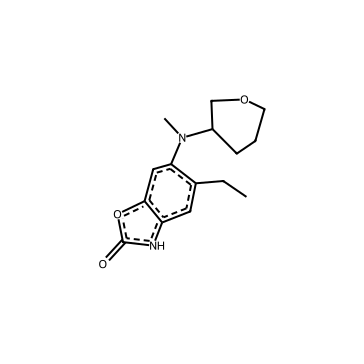 CCc1cc2[nH]c(=O)oc2cc1N(C)C1CCCOC1